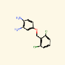 Nc1ccc(OCc2c(Cl)cccc2Cl)cc1N